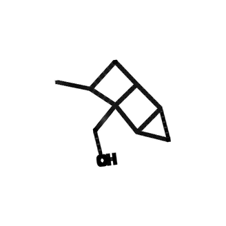 CC1CC2C3CC3C12CO